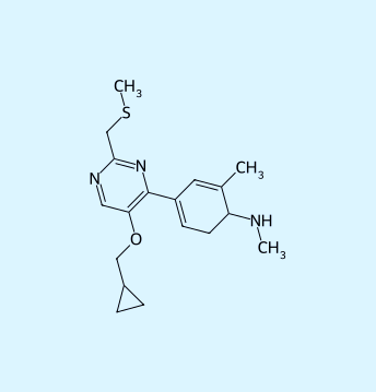 CNC1CC=C(c2nc(CSC)ncc2OCC2CC2)C=C1C